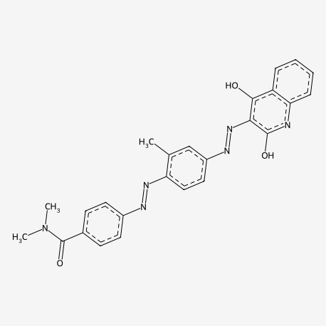 Cc1cc(/N=N/c2c(O)nc3ccccc3c2O)ccc1/N=N/c1ccc(C(=O)N(C)C)cc1